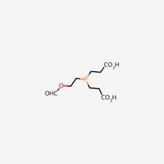 O=COCCP(CCC(=O)O)CCC(=O)O